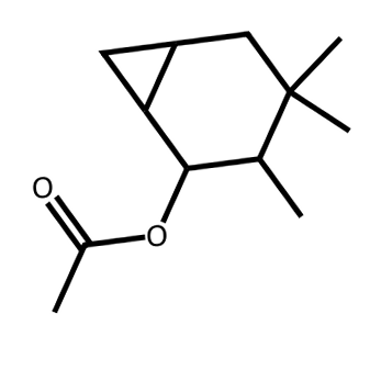 CC(=O)OC1C2CC2CC(C)(C)C1C